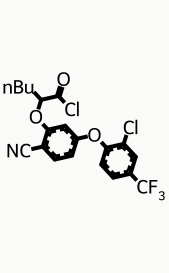 CCCCC(Oc1cc(Oc2ccc(C(F)(F)F)cc2Cl)ccc1C#N)C(=O)Cl